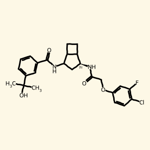 CC(C)(O)c1cccc(C(=O)NC2C[C@H](NC(=O)COc3ccc(Cl)c(F)c3)C3CCC23)c1